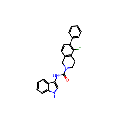 O=C(Nc1c[nH]c2ccccc12)N1CCc2c(ccc(-c3ccccc3)c2F)C1